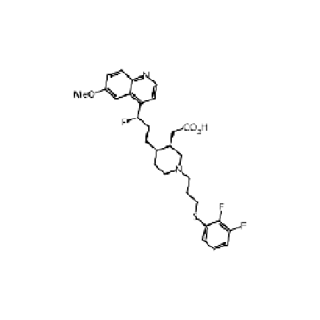 COc1ccc2nccc([C@H](F)CC[C@@H]3CCN(CCCSc4cccc(F)c4F)C[C@@H]3CC(=O)O)c2c1